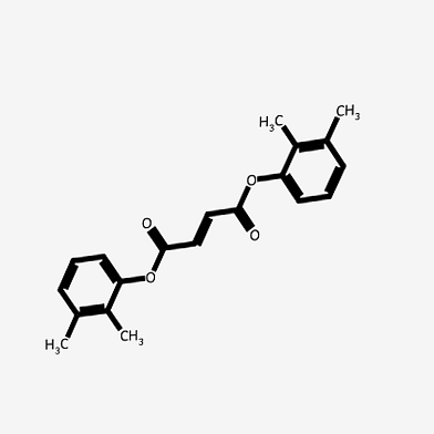 Cc1cccc(OC(=O)/C=C/C(=O)Oc2cccc(C)c2C)c1C